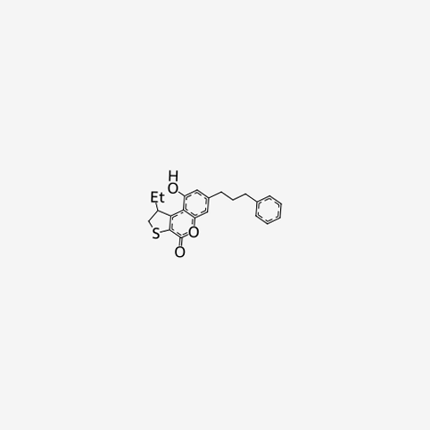 CCC1CSc2c1c1c(O)cc(CCCc3ccccc3)cc1oc2=O